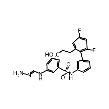 NN=CNc1cccc(S(=O)(=O)Nc2cccc(-c3c(F)cc(F)cc3CCC(=O)O)c2)c1